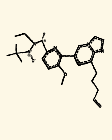 C=CCCCc1cc(-c2nc([C@@H](C)N(CC)[S@+]([O-])C(C)(C)C)ccc2OC)cn2ccnc12